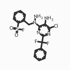 Nc1c(Cl)nc(C(F)(F)c2ccccc2)nc1N(N)Cc1ccccc1S(=O)(=O)F